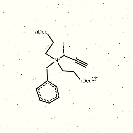 C#CC(I)[N+](CCCCCCCCCCCC)(CCCCCCCCCCCC)Cc1ccccc1.[Cl-]